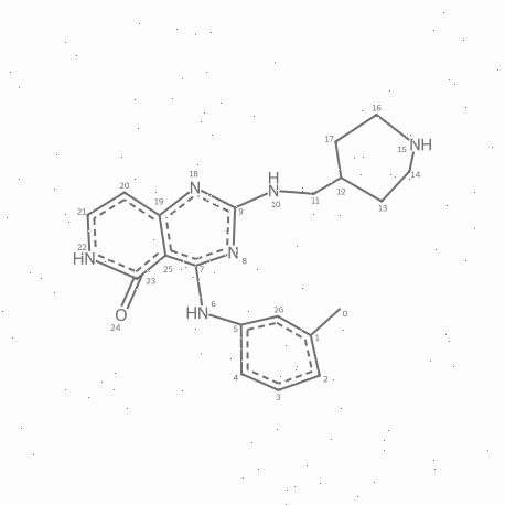 Cc1cccc(Nc2nc(NCC3CCNCC3)nc3cc[nH]c(=O)c23)c1